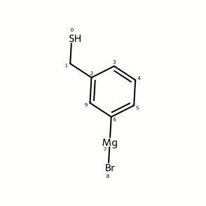 SCc1ccc[c]([Mg][Br])c1